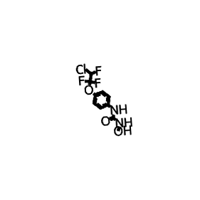 O=C(NO)Nc1ccc(OC(F)(F)C(F)Cl)cc1